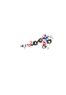 CCOC(=O)Cc1ccc(-c2ccc(-c3onc(C)c3N(C(=O)OCC)c3cc(F)ccc3F)cc2)cc1